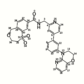 O=C(NCc1cc(-c2cccc(N3CCOc4cccnc43)c2)ccn1)c1ccc2c(c1)S(=O)(=O)CCOC2